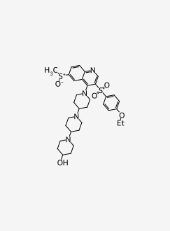 CCOc1ccc(S(=O)(=O)c2cnc3ccc([S+](C)[O-])cc3c2N2CCC(N3CCC(N4CCC(O)CC4)CC3)CC2)cc1